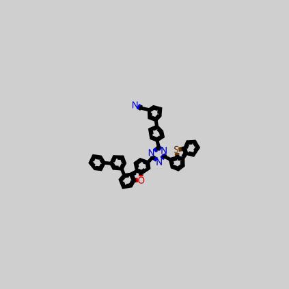 N#Cc1cccc(-c2ccc(-c3nc(-c4ccc5c(c4)oc4cccc(-c6cccc(-c7ccccc7)c6)c45)nc(-c4cccc5c4sc4ccccc45)n3)cc2)c1